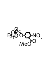 CCOP(=O)(OCC)SOc1ccc([N+](=O)[O-])c(C(=O)OC)c1